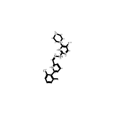 Cc1cccc(Cl)c1-c1cccc(/C=N\Nc2ncc(F)c(N3CCOCC3)n2)n1